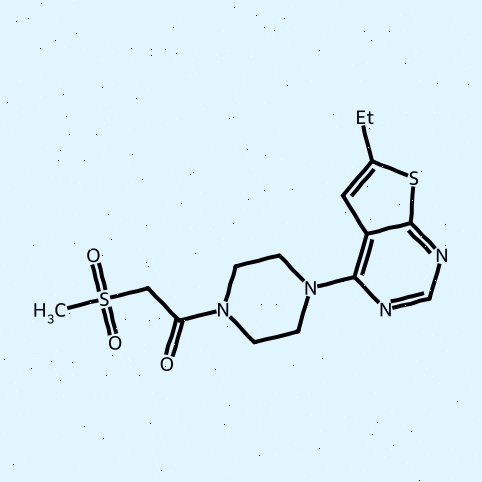 CCc1cc2c(N3CCN(C(=O)CS(C)(=O)=O)CC3)ncnc2s1